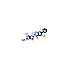 CC(C)c1nc(C#N)nc(C(C)C)c1NC(=O)NC(=O)c1cc(Cl)c(-c2ccccc2F)nc1Cl